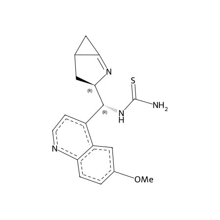 COc1ccc2nccc([C@@H](NC(N)=S)[C@H]3CC4CC4=N3)c2c1